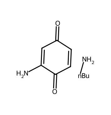 CCCCN.NC1=CC(=O)C=CC1=O